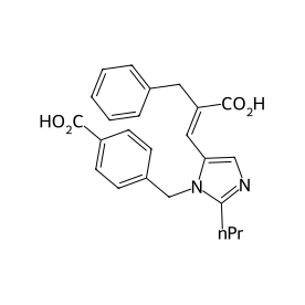 CCCc1ncc(C=C(Cc2ccccc2)C(=O)O)n1Cc1ccc(C(=O)O)cc1